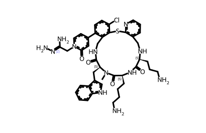 CN1C(=O)[C@H](CCCCN)NC(=O)[C@H](CCCN)NCc2cccnc2Sc2c(Cl)ccc(-c3ccn(C/C(N)=N/N)c(=O)c3)c2CNC(=O)[C@@H]1Cc1c[nH]c2ccccc12